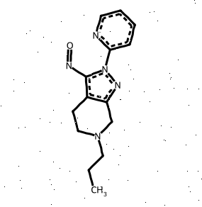 CCCN1CCc2c(nn(-c3ccccn3)c2N=O)C1